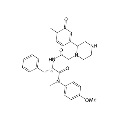 COc1ccc(N(C)C(=O)[C@H](Cc2ccccc2)NC(=O)CN2CCNCC2C2=CC(=O)C(C)C=C2)cc1